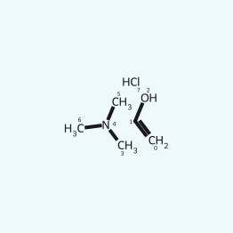 C=CO.CN(C)C.Cl